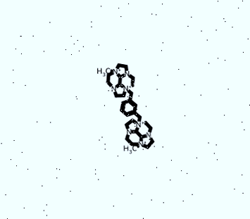 C[N+]12CCN3CC[N+]4(Cc5cccc(C[N+]67CCN8CC[N+]9(C)CCN(CC6)C7C89)c5)CCN(CC1)C4C32